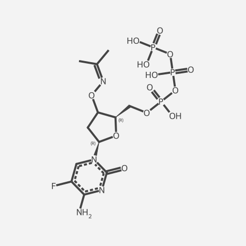 CC(C)=NOC1C[C@H](n2cc(F)c(N)nc2=O)O[C@@H]1COP(=O)(O)OP(=O)(O)OP(=O)(O)O